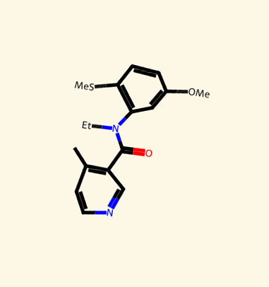 CCN(C(=O)c1cnccc1C)c1cc(OC)ccc1SC